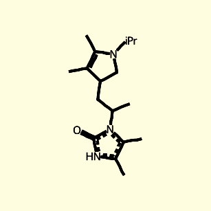 CC1=C(C)N(C(C)C)CC1CC(C)n1c(C)c(C)[nH]c1=O